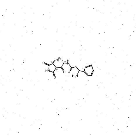 CC(C)[C@H](NC(=O)CC(N)c1ccccc1)C(=O)[C@H]1C(=O)NC(=O)[C@H]1C